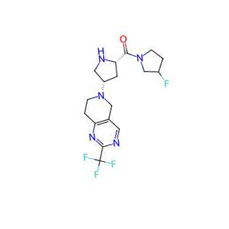 O=C([C@@H]1C[C@H](N2CCc3nc(C(F)(F)F)ncc3C2)CN1)N1CCC(F)C1